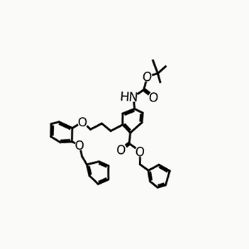 CC(C)(C)OC(=O)Nc1ccc(C(=O)OCc2ccccc2)c(CCCOc2ccccc2OCc2ccccc2)c1